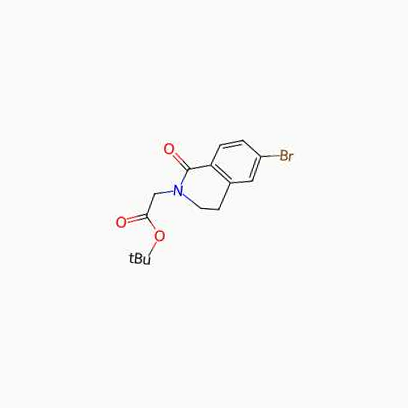 CC(C)(C)OC(=O)CN1CCc2cc(Br)ccc2C1=O